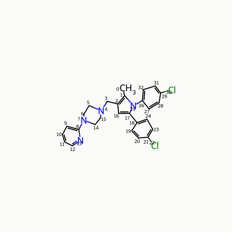 Cc1c(CN2CCN(c3ccccn3)CC2)cc(-c2ccc(Cl)cc2)n1-c1ccc(Cl)cc1